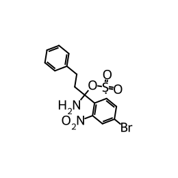 CS(=O)(=O)OC(N)(CCc1ccccc1)c1ccc(Br)cc1[N+](=O)[O-]